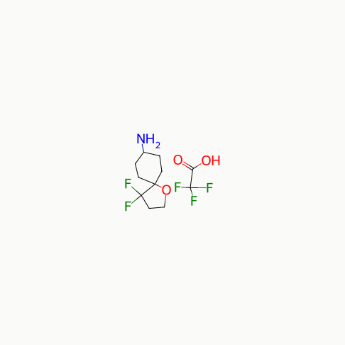 NC1CCC2(CC1)OCCC2(F)F.O=C(O)C(F)(F)F